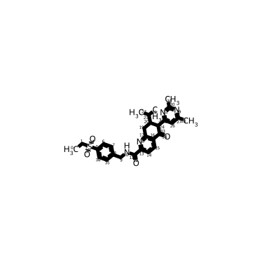 CCS(=O)(=O)c1ccc(CNC(=O)c2ccc3c(n2)CC(C(C)C)C(c2cc(C)nc(C)n2)C3=O)cc1